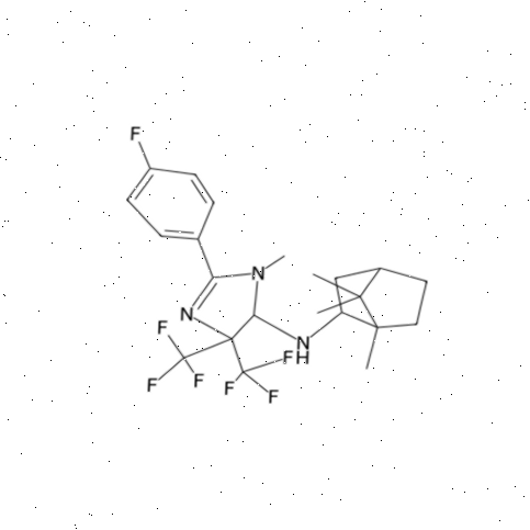 CN1C(c2ccc(F)cc2)=NC(C(F)(F)F)(C(F)(F)F)C1NC1CC2CCC1(C)C2(C)C